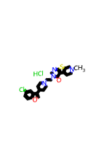 CN1CCc2c(sc3ncn(CCN4CCC(c5coc6ccc(Cl)cc56)CC4)c(=O)c23)C1.Cl